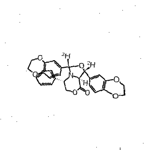 [2H][C@@]1(c2ccc3c(c2)OCCO3)O[C@]([2H])(c2ccc3c(c2)OCCO3)[C@H]2C(=O)OC[C@H](c3ccccc3)N21